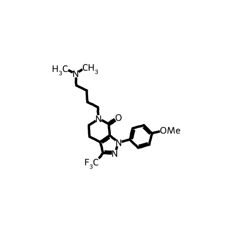 COc1ccc(-n2nc(C(F)(F)F)c3c2C(=O)N(CCCCN(C)C)CC3)cc1